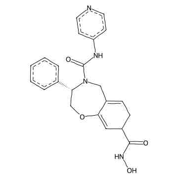 O=C(NO)C1C=C2OC[C@H](c3ccccc3)N(C(=O)Nc3ccncc3)CC2=CC1